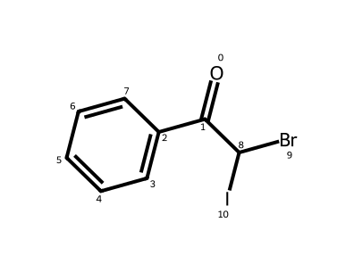 O=C(c1ccccc1)C(Br)I